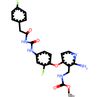 CC(C)(C)OC(=O)NCc1c(Oc2ccc(NC(=O)NC(=O)Cc3ccc(F)cc3)cc2F)ccnc1N